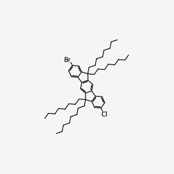 CCCCCCCCC1(CCCCCCCC)c2cc(Cl)ccc2-c2cc3c(cc21)-c1ccc(Br)cc1C3(CCCCCCCC)CCCCCCCC